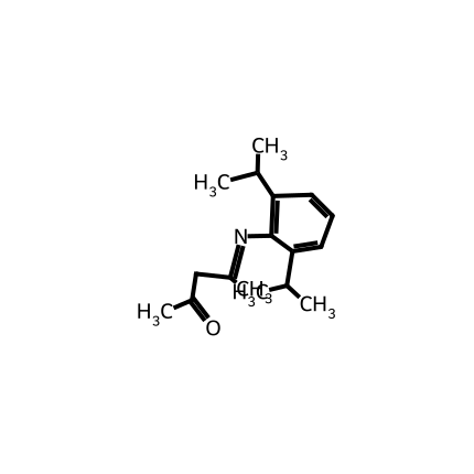 CC(=O)CC(C)=Nc1c(C(C)C)cccc1C(C)C